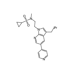 CC(C)Cc1cn(CCN(C)S(=O)(=O)C2CC2)c2ncc(-c3ccncc3)cc12